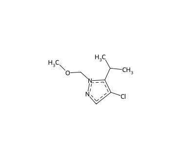 COCn1ncc(Cl)c1C(C)C